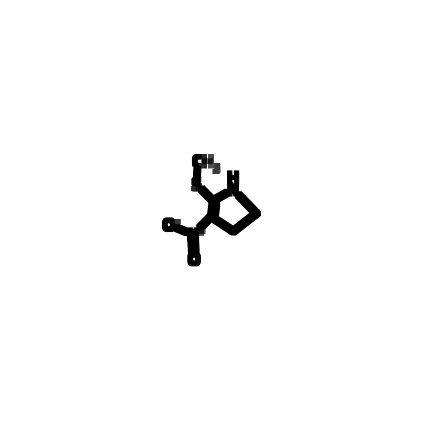 CSC1=C([N+](=O)[O-])CCN1